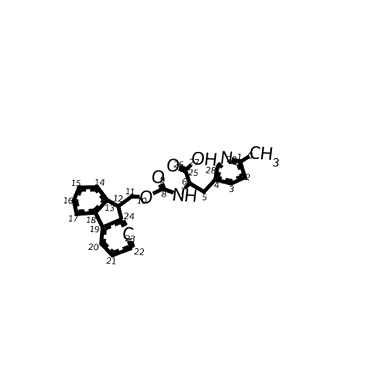 Cc1ccc(CC(NC(=O)OCC2c3ccccc3-c3ccccc32)C(=O)O)cn1